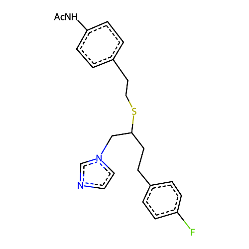 CC(=O)Nc1ccc(CCSC(CCc2ccc(F)cc2)Cn2ccnc2)cc1